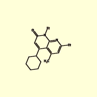 CCc1cc(C)c2c(C3CCCCC3)cc(=O)n(CC)c2n1